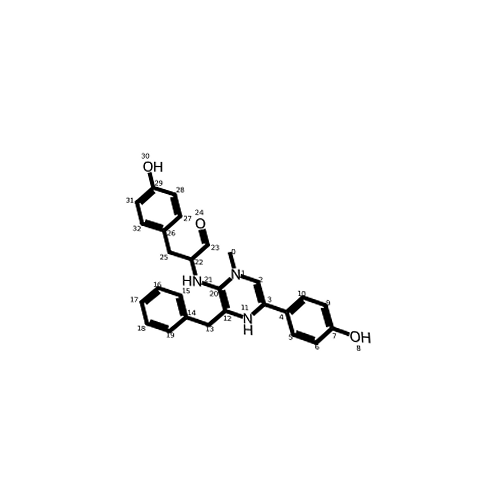 CN1C=C(c2ccc(O)cc2)NC(Cc2ccccc2)=C1NC(C=O)Cc1ccc(O)cc1